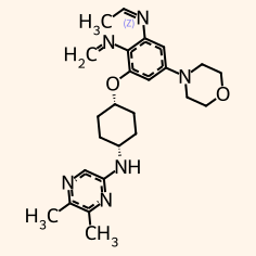 C=Nc1c(/N=C\C)cc(N2CCOCC2)cc1O[C@H]1CC[C@@H](Nc2cnc(C)c(C)n2)CC1